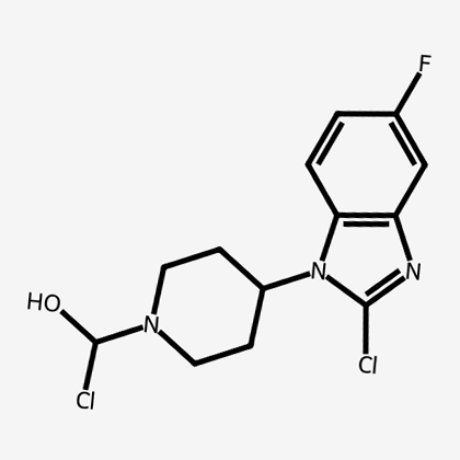 OC(Cl)N1CCC(n2c(Cl)nc3cc(F)ccc32)CC1